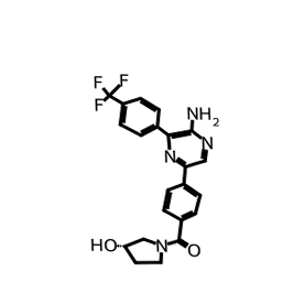 Nc1ncc(-c2ccc(C(=O)N3CC[C@H](O)C3)cc2)nc1-c1ccc(C(F)(F)F)cc1